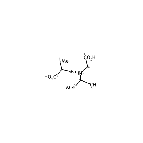 CCC(C)C(NC)C(=O)O.CSC(C)NCC(=O)O